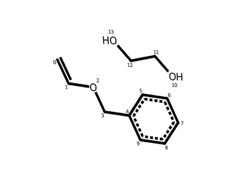 C=COCc1ccccc1.OCCO